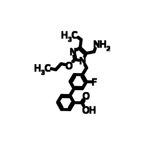 CCCOc1nc(CC)c(CN)n1Cc1ccc(-c2ccccc2C(=O)O)cc1F